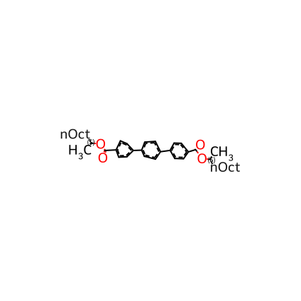 CCCCCCCC[C@H](C)OC(=O)c1ccc(-c2ccc(-c3ccc(C(=O)O[C@@H](C)CCCCCCCC)cc3)cc2)cc1